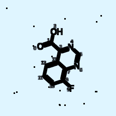 O=C(O)c1ncnc2c(F)cccc12